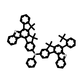 CC(C)(C)c1ccccc1-c1cc2c(c3c1oc1ccccc13)-c1ccc(N(c3ccccc3)c3ccc4c(c3)C(C)(C)c3c5c(c6oc7ccccc7c6c3-4)-c3ccccc3C5(C)C)cc1C2(C)C